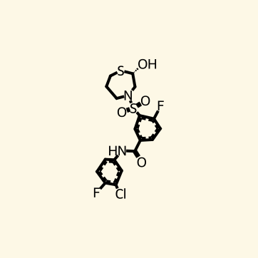 O=C(Nc1ccc(F)c(Cl)c1)c1ccc(F)c(S(=O)(=O)N2CCCS[C@H](O)C2)c1